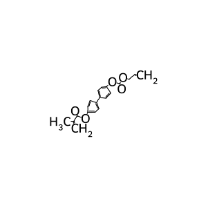 C=CCOC(=O)Oc1ccc(-c2ccc(OC(=O)C(=C)C)cc2)cc1